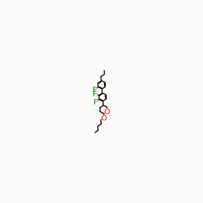 CCCCCOC1CCC(c2ccc(-c3ccc(CCC)cc3F)c(F)c2F)CO1